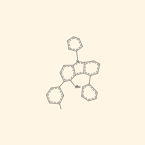 Cc1cccc(-c2ccc3c(c2C(C)(C)C)c2c(-c4ccccc4)cccc2n3-c2ccccc2)c1